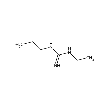 [CH2]CCNC(=N)NCC